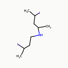 CC(I)CCNC(C)CC(C)I